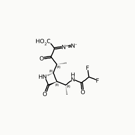 C[C@@H](NC(=O)C(F)F)[C@H]1C(=O)N[C@@H]1[C@@H](C)C(=O)C(=[N+]=[N-])C(=O)O